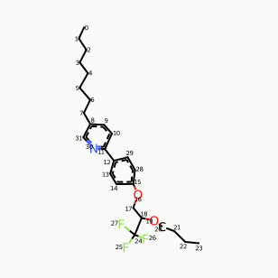 CCCCCCCCc1ccc(-c2ccc(OCC(OCCCC)C(F)(F)F)cc2)nc1